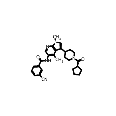 Cc1c(NC(=O)c2cccc(C#N)c2)cnc2c1c(C1CCN(C(=O)C3CCCC3)CC1)cn2C